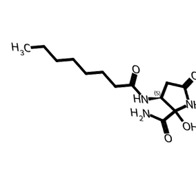 CCCCCCCC(=O)N[C@H]1CC(=O)NC1(O)C(N)=O